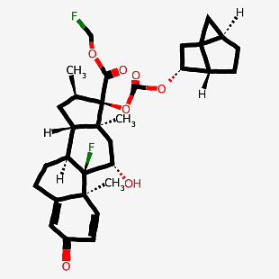 C[C@@H]1C[C@H]2[C@@H]3CCC4=CC(=O)C=C[C@]4(C)[C@@]3(F)[C@@H](O)C[C@]2(C)[C@@]1(OC(=O)O[C@@H]1CC23C[C@H]2CC[C@H]13)C(=O)OCF